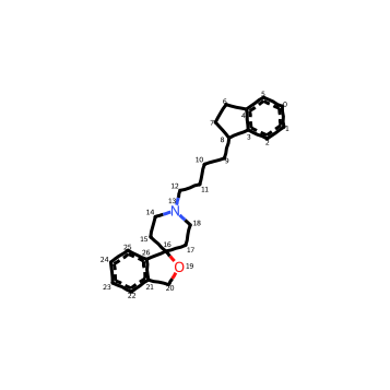 c1ccc2c(c1)CCC2CCCCN1CCC2(CC1)OCc1ccccc12